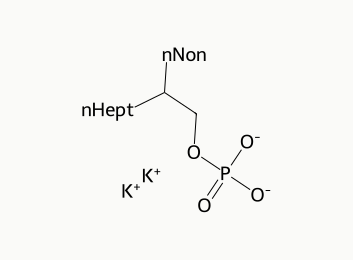 CCCCCCCCCC(CCCCCCC)COP(=O)([O-])[O-].[K+].[K+]